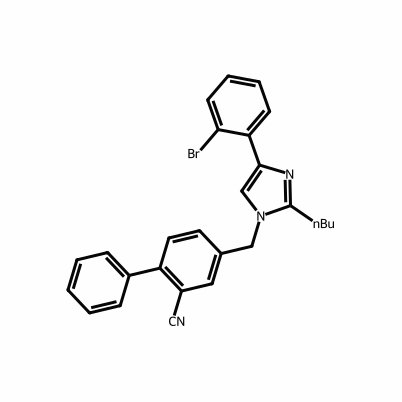 CCCCc1nc(-c2ccccc2Br)cn1Cc1ccc(-c2ccccc2)c(C#N)c1